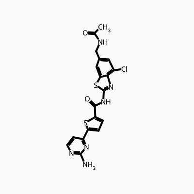 CC(=O)NCc1cc(Cl)c2nc(NC(=O)c3ccc(-c4ccnc(N)n4)s3)sc2c1